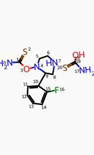 NC(=S)ON1CCNCC1c1ccccc1F.NC(O)=S